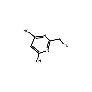 N#CCc1nc(C#N)cc(C#N)n1